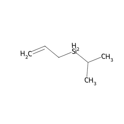 C=CC[SiH2]C(C)C